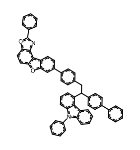 c1ccc(-c2ccc(C(Cc3ccc(-c4ccc5c(c4)oc4ccc6oc(-c7ccccc7)nc6c45)cc3)c3cccc4c3c3ccccc3n4-c3ccccc3)cc2)cc1